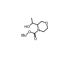 CC(O)C1COCCN1C(=O)OC(C)(C)C